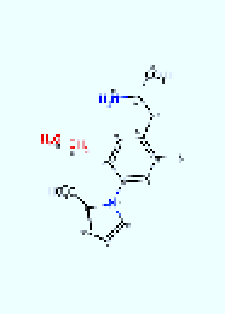 Cc1cc(-n2cccc2C(=O)O)ccc1C[C@H](N)C(=O)O.O.O